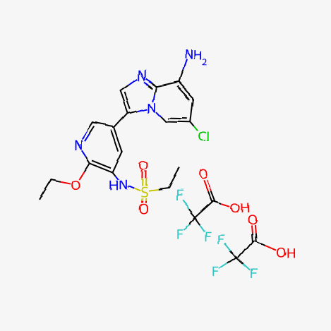 CCOc1ncc(-c2cnc3c(N)cc(Cl)cn23)cc1NS(=O)(=O)CC.O=C(O)C(F)(F)F.O=C(O)C(F)(F)F